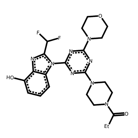 CCC(=O)N1CCN(c2nc(N3CCOCC3)nc(-n3c(C(F)F)nc4c(O)cccc43)n2)CC1